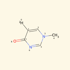 [2H]c1cn(C)cnc1=O